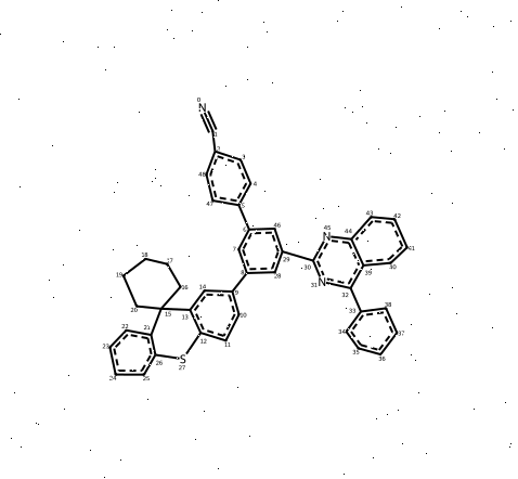 N#Cc1ccc(-c2cc(-c3ccc4c(c3)C3(CCCCC3)c3ccccc3S4)cc(-c3nc(-c4ccccc4)c4ccccc4n3)c2)cc1